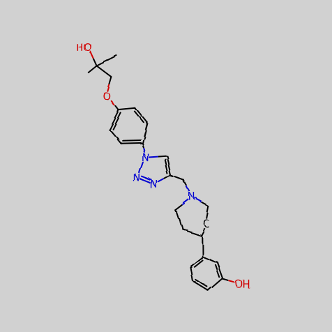 CC(C)(O)COc1ccc(-n2cc(CN3CCC(c4cccc(O)c4)CC3)nn2)cc1